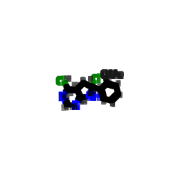 COc1ccccc1C1(Cl)Cc2c(Cl)ncnc2N1